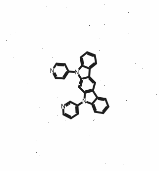 c1cncc(-n2c3ccccc3c3cc4c5ccccc5n(-c5ccncc5)c4cc32)c1